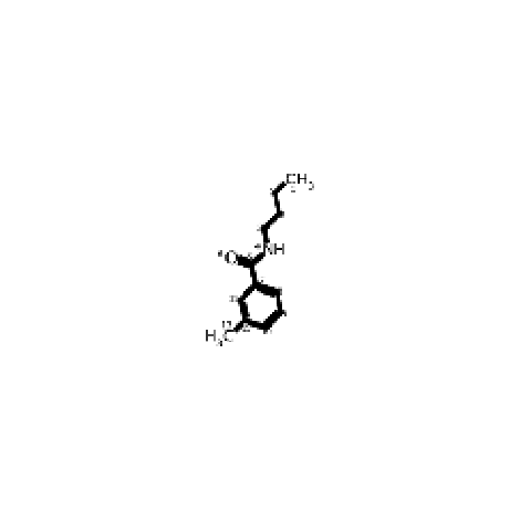 CCCCNC(=O)c1cccc(C)c1